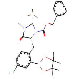 CN1C(=O)[C@H](Cc2ccc(Br)cc2B2OC(C)(C)C(C)(C)O2)N(C(=O)OCc2ccccc2)[C@H]1S(C)(C)C